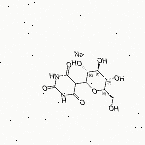 O=C1NC(=O)C(C2O[C@H](CO)[C@@H](O)[C@H](O)[C@H]2O)C(=O)N1.[Na]